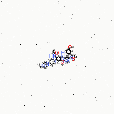 C=CC(=O)Nc1cc(Nc2cc(N3OCCC3c3cccc(OC)c3)ncn2)c(OC)cc1N1CCC(N2CCN(CC)CC2)CC1